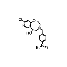 CCN(CC)c1ccc(CN2CCOc3cc(Cl)ncc3C(O)C2)cc1